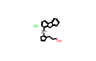 OCCCC1=[C]([Zr+2][c]2cccc3c2Cc2ccccc2-3)CC=C1.[Cl-].[Cl-]